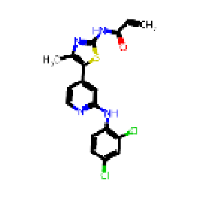 C=CC(=O)Nc1nc(C)c(-c2ccnc(Nc3ccc(Cl)cc3Cl)c2)s1